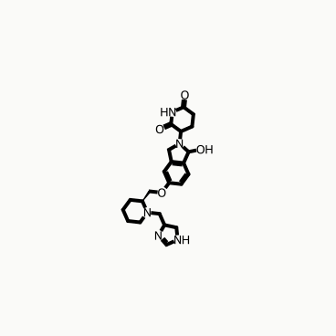 O=C1CCC(N2Cc3cc(OC[C@@H]4CCCCN4CC4CNC=N4)ccc3C2O)C(=O)N1